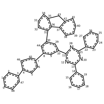 c1ccc(-c2ccc(-c3cc(-c4nc(-c5ccccc5)nc(-c5ccccc5)n4)cc(-c4cccc5c4-c4ccccc4C5)c3)cc2)cc1